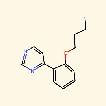 CCCCOc1ccccc1-c1ccn[c]n1